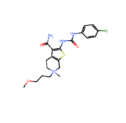 COCCC[N+]1(C)CCc2c(sc(NC(=O)Nc3ccc(Cl)cc3)c2C(N)=O)C1